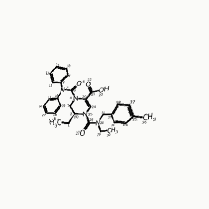 CC[C@H]1CN(C(=O)N(c2ccccc2)c2ccccc2)C(C(=O)O)=CN1C(=O)N(CC)Cc1ccc(C)cc1